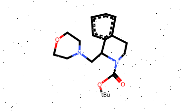 CC(C)(C)OC(=O)N1CCc2ccccc2C1CN1CCOCC1